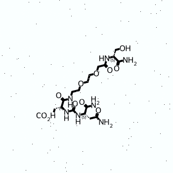 NC(=O)C[C@H](NC(=O)N[C@H](CC(=O)O)C(=O)NCCOCCOCC(=O)N[C@@H](CO)C(N)=O)C(N)=O